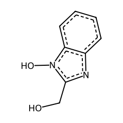 OCc1nc2ccccc2n1O